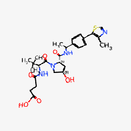 Cc1ncsc1-c1ccc(C(C)NC(=O)[C@@H]2C[C@@H](O)CN2C(=O)C(NC(=O)CCC(=O)O)C(C)(C)C)cc1